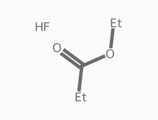 CCOC(=O)CC.F